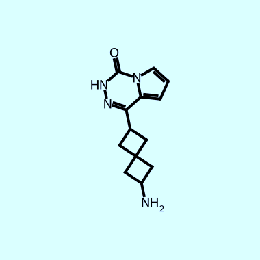 NC1CC2(C1)CC(c1n[nH]c(=O)n3cccc13)C2